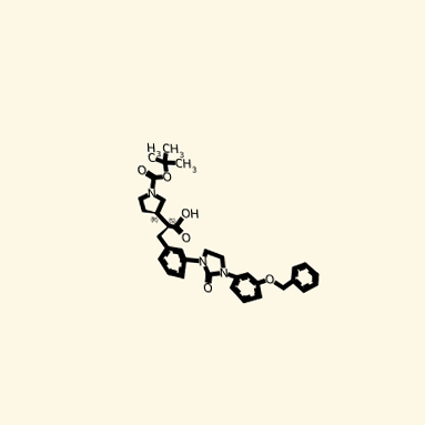 CC(C)(C)OC(=O)N1CC[C@H]([C@H](Cc2cccc(N3CCN(c4cccc(OCc5ccccc5)c4)C3=O)c2)C(=O)O)C1